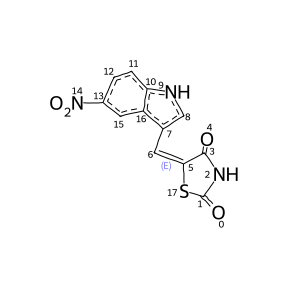 O=C1NC(=O)/C(=C\c2c[nH]c3ccc([N+](=O)[O-])cc23)S1